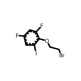 Fc1cc(F)c(OCCBr)c(I)c1